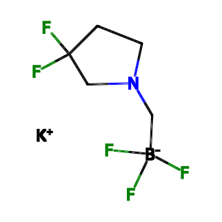 F[B-](F)(F)CN1CCC(F)(F)C1.[K+]